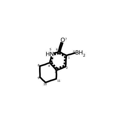 Bc1cc2c([nH]c1=O)CCCC2